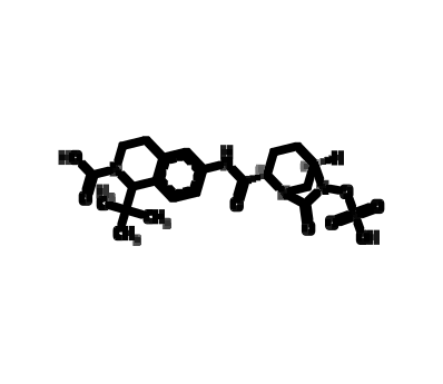 CC(C)(C)C1c2ccc(NC(=O)[C@@H]3CC[C@@H]4CN3C(=O)N4OS(=O)(=O)O)cc2CCN1C(=O)O